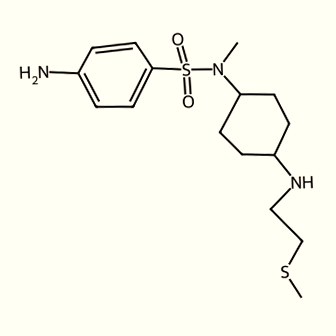 CSCCNC1CCC(N(C)S(=O)(=O)c2ccc(N)cc2)CC1